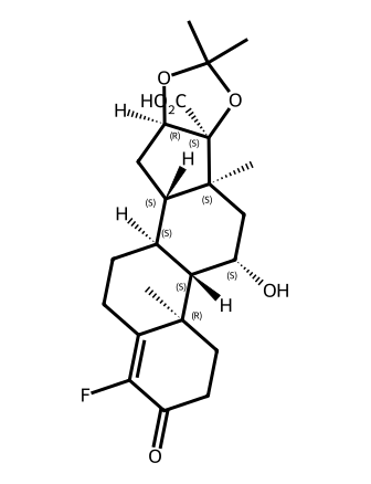 CC1(C)O[C@@H]2C[C@H]3[C@@H]4CCC5=C(F)C(=O)CC[C@]5(C)[C@H]4[C@@H](O)C[C@]3(C)[C@]2(C(=O)O)O1